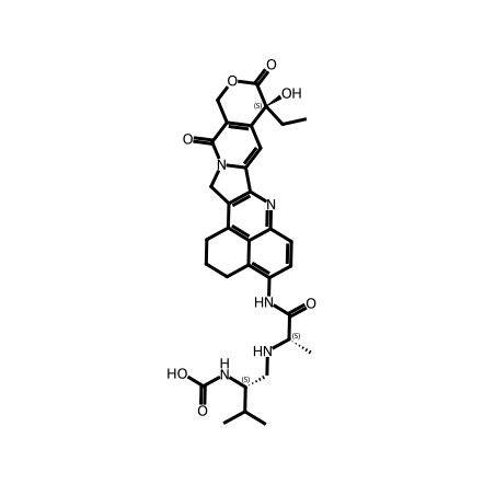 CC[C@@]1(O)C(=O)OCc2c1cc1n(c2=O)Cc2c-1nc1ccc(NC(=O)[C@H](C)NC[C@@H](NC(=O)O)C(C)C)c3c1c2CCC3